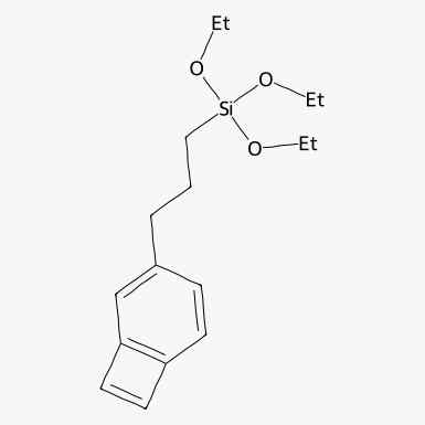 CCO[Si](CCCc1ccc2c(c1)C=C2)(OCC)OCC